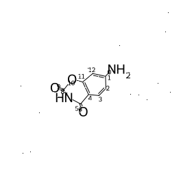 Nc1ccc2c(=O)[nH]c(=O)oc2c1